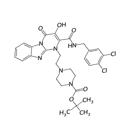 CC(C)(C)OC(=O)N1CCN(CCn2c(C(=O)NCc3ccc(Cl)c(Cl)c3)c(O)c(=O)n3c4ccccc4nc23)CC1